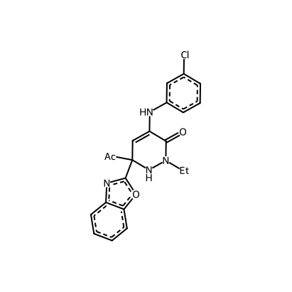 CCN1NC(C(C)=O)(c2nc3ccccc3o2)C=C(Nc2cccc(Cl)c2)C1=O